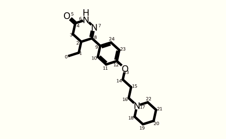 CCC1CC(=O)NN=C1c1ccc(OCCCN2CCCCC2)cc1